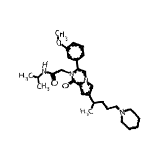 COc1cccc(-c2cn3cc(C(C)CCCN4CCCCC4)cc3c(=O)n2CC(=O)NC(C)C)c1